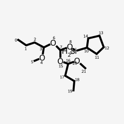 CCCC(OC)OC(O[SiH2]C1CCCC1)OC(CCC)OC